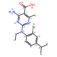 CCN(c1nc(C)c(C(=O)O)c(N)n1)c1ccc(C(C)C)cc1Br